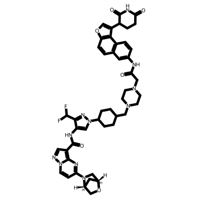 O=C1CCC(c2coc3ccc4cc(NC(=O)CN5CCN(CC6CCC(n7cc(NC(=O)c8cnn9ccc(N%10C[C@H]%11C[C@@H]%10CO%11)nc89)c(C(F)F)n7)CC6)CC5)ccc4c23)C(=O)N1